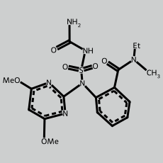 CCN(C)C(=O)c1ccccc1N(c1nc(OC)cc(OC)n1)S(=O)(=O)NC(N)=O